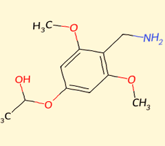 COc1cc(OC(C)O)cc(OC)c1CN